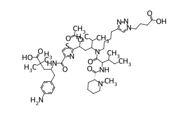 CCC(C)C(NC(=O)[C@H]1CCCCN1C)C(=O)N(CCCCc1cn(CCCC(=O)O)nn1)C(CC(OC(C)=O)c1nc(C(=O)NC(Cc2ccc(N)cc2)CC(C)(C)C(=O)O)cs1)C(C)C